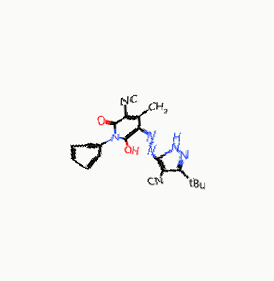 [C-]#[N+]c1c(C(C)(C)C)n[nH]c1/N=N/c1c(C)c([N+]#[C-])c(=O)n(-c2ccccc2)c1O